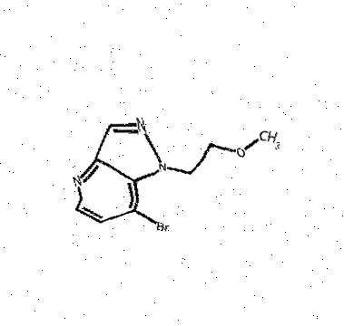 COCCn1ncc2nccc(Br)c21